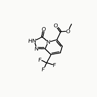 COC(=O)c1ccc(C(F)(F)F)c2n[nH]c(=O)n12